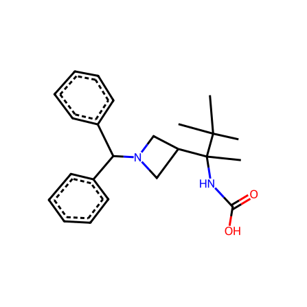 CC(C)(C)C(C)(NC(=O)O)C1CN(C(c2ccccc2)c2ccccc2)C1